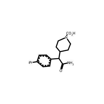 CC(C)c1ccc(C(C(N)=O)C2CCN(C(=O)O)CC2)cc1